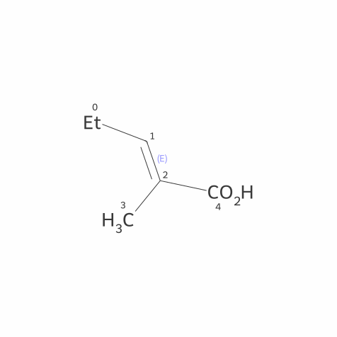 [CH2]C/C=C(\C)C(=O)O